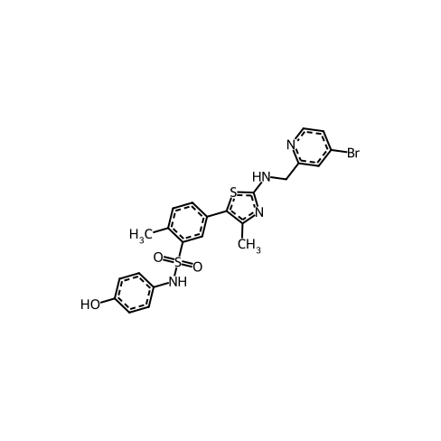 Cc1ccc(-c2sc(NCc3cc(Br)ccn3)nc2C)cc1S(=O)(=O)Nc1ccc(O)cc1